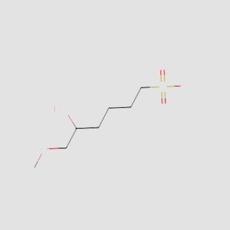 COCC(O)CCCCS(=O)(=O)O